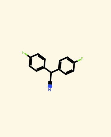 N#CC(c1ccc(F)cc1)c1ccc(F)cc1